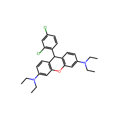 CCN(CC)c1ccc2c(c1)Oc1cc(N(CC)CC)ccc1C2c1ccc(Cl)cc1Cl